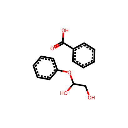 O=C(O)c1ccccc1.OCC(O)Oc1ccccc1